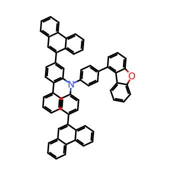 c1ccc(-c2ccc(-c3cc4ccccc4c4ccccc34)cc2N(c2ccc(-c3cc4ccccc4c4ccccc34)cc2)c2ccc(-c3cccc4oc5ccccc5c34)cc2)cc1